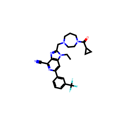 CCn1c(CN2CCCN(C(=O)C3CC3)CC2)nc2c(C#N)nc(-c3cccc(C(F)(F)F)c3)cc21